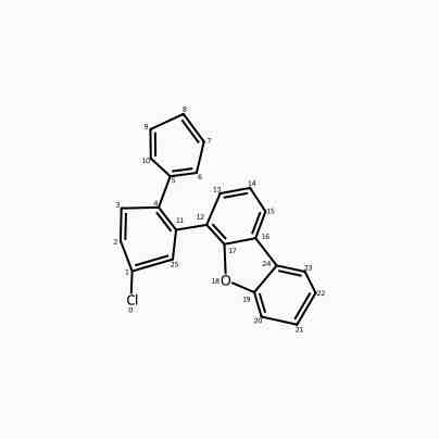 Clc1ccc(-c2ccccc2)c(-c2cccc3c2oc2ccccc23)c1